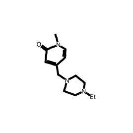 CCN1CCN(Cc2ccn(C)c(=O)c2)CC1